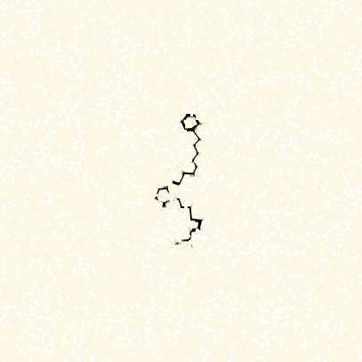 COC(=O)c1ccc(CCCN2C(=O)CC[C@@H]2C=C[C@@H](O)[C@@H](C)CCCCCc2ccccc2)s1